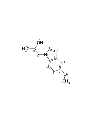 COc1ccc2c(ccn2CC(C)O)c1